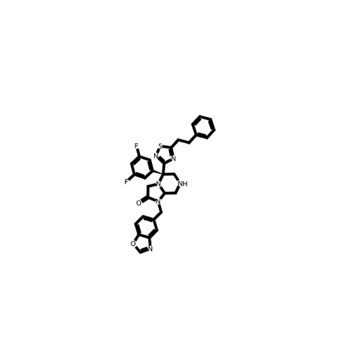 O=C1CN2C(CNC[C@@]2(c2cc(F)cc(F)c2)c2nsc(CCc3ccccc3)n2)N1Cc1ccc2ocnc2c1